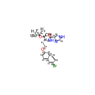 C[C@H](O[Si](C)(C)C(C)(C)C)[C@@H](CCOc1ccc2cc(Br)ccc2c1)NC(=O)c1c[nH]cn1